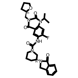 CC(C)n1c(=O)n(C[C@H]2CCCO2)c(=O)c2cc(NC(=O)N3CCC[C@@H](N4Cc5ccccc5C4=O)C3)c(F)cc21